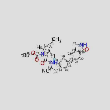 CC1C2C1[C@@H]1C[C@H]2[C@@H](C(=O)N[C@H](C#N)Cc2ccc(-c3ccc4c(c3)CNC4=O)cc2F)N1C(=O)OC(C)(C)C